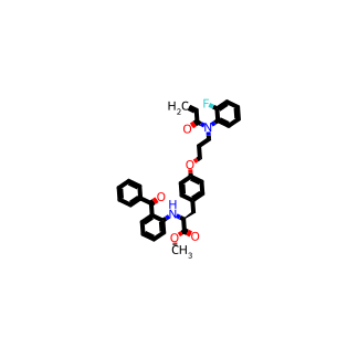 C=CC(=O)N(CCCOc1ccc(C[C@H](Nc2ccccc2C(=O)c2ccccc2)C(=O)OC)cc1)c1ccccc1F